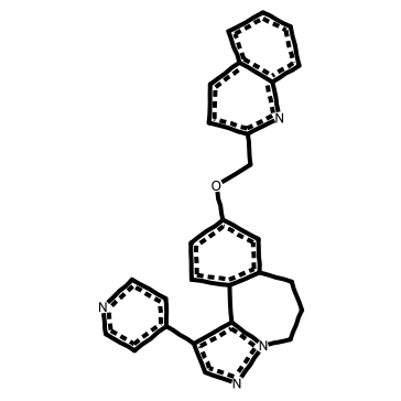 c1ccc2nc(COc3ccc4c(c3)CCCn3ncc(-c5ccncc5)c3-4)ccc2c1